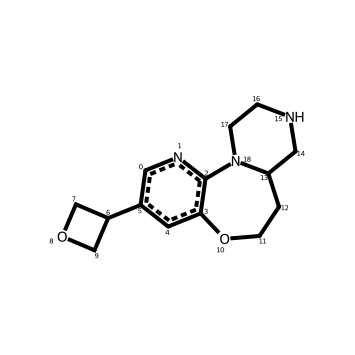 c1nc2c(cc1C1COC1)OCCC1CNCCN21